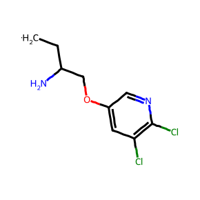 [CH2]CC(N)COc1cnc(Cl)c(Cl)c1